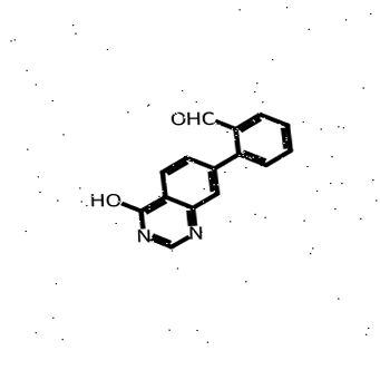 O=Cc1ccccc1-c1ccc2c(O)ncnc2c1